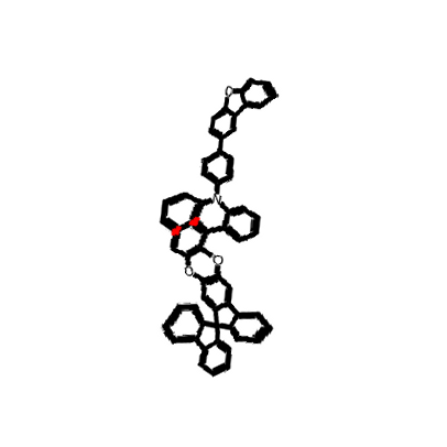 c1ccc(N(c2ccc(-c3ccc4oc5ccccc5c4c3)cc2)c2ccccc2-c2cccc3c2Oc2cc4c(cc2O3)C2(c3ccccc3-c3ccccc32)c2ccccc2-4)cc1